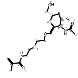 C=C(C)C(=O)NCCOCCO/C=C1\O[C@H](CO)C[C@H](O)[C@H]1NC(C)=O